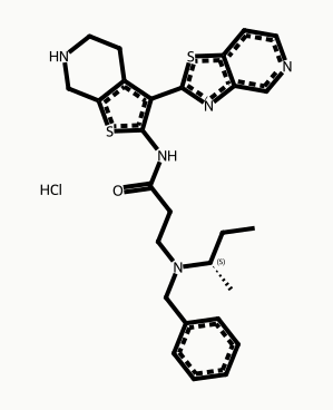 CC[C@H](C)N(CCC(=O)Nc1sc2c(c1-c1nc3cnccc3s1)CCNC2)Cc1ccccc1.Cl